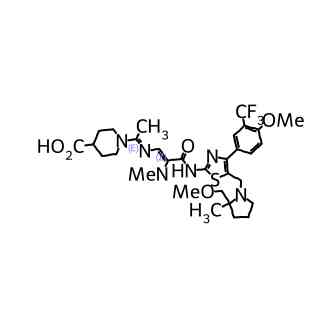 CN/C(=C\N=C(/C)N1CCC(C(=O)O)CC1)C(=O)Nc1nc(-c2ccc(OC)c(C(F)(F)F)c2)c(CN2CCCC2(C)COC)s1